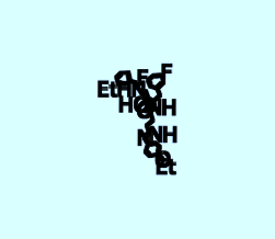 CCOc1ccc2nc(CCC(=O)NC(Cc3cc(F)cc(F)c3)C(O)CNCc3cccc(CC)c3)[nH]c2c1